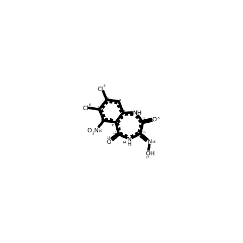 O=c1[nH]c2cc(Cl)c(Cl)c([N+](=O)[O-])c2c(=O)[nH]c1=NO